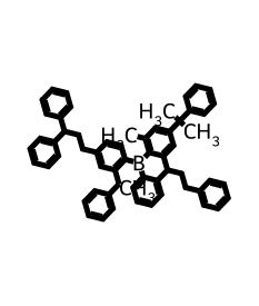 Cc1cc(C(C)(C)c2ccccc2)cc2c1B(c1ccc(CCC(c3ccccc3)c3ccccc3)cc1C(C)c1ccccc1)c1ccccc1C2CCc1ccccc1